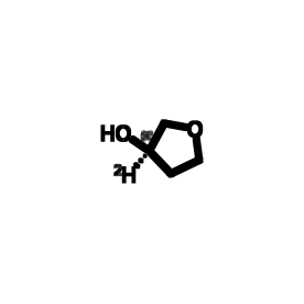 [2H][C@@]1(O)CCOC1